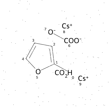 O=C(O)c1ccco1.O=C([O-])[O-].[Cs+].[Cs+]